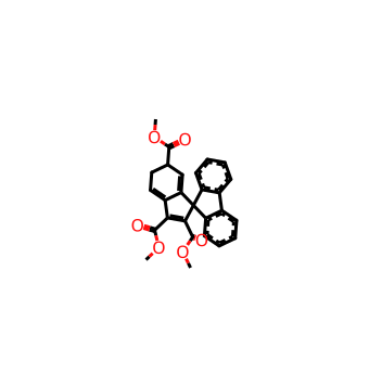 COC(=O)C1=C(C(=O)OC)C2(C3=CC(C(=O)OC)CC=C31)c1ccccc1-c1ccccc12